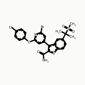 CC(C)(c1ccc2sc(C(N)=O)c(-c3cc(Br)nc(Oc4ccc(Cl)cc4)c3)c2c1)S(C)(=O)=O